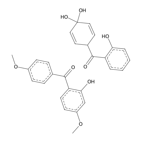 COc1ccc(C(=O)c2ccc(OC)cc2O)cc1.O=C(c1ccccc1O)C1C=CC(O)(O)C=C1